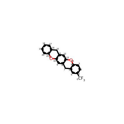 FC(F)(F)c1ccc2c(c1)Cc1cc3c(cc1O2)Cc1ccccc1O3